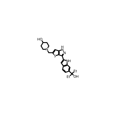 CCC(O)(CC)c1ccc2cc(-c3n[nH]c4cc(CN5CCC(O)CC5)sc34)[nH]c2c1